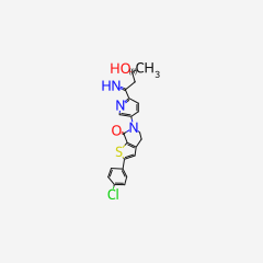 C[C@H](O)CC(=N)c1ccc(N2CCc3cc(-c4ccc(Cl)cc4)sc3C2=O)cn1